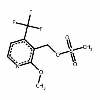 COc1nccc(C(F)(F)F)c1COS(C)(=O)=O